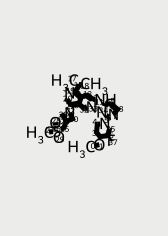 CO[C@H]1CCN(c2nccc(Nc3cc4c(C(C)C)ncc(N5CC(CS(C)(=O)=O)C5)c4cn3)n2)C[C@H]1F